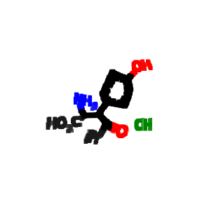 CC(C)C(=O)C(c1ccc(O)cc1)[C@H](N)C(=O)O.Cl